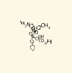 Cc1ccc(S(=O)(=O)N(CC(=O)N(Cc2ccc(C3CCCCC3)cc2)c2ccc(C(=O)O)c(O)c2)Cc2cccc(N)c2)cc1